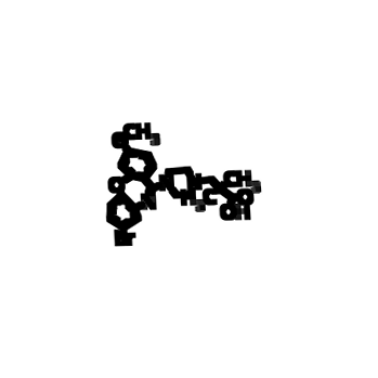 COc1ccc2c(c1)Oc1ccc(Br)cc1N=C2N1CCN(CC(C)(C)C(=O)O)CC1